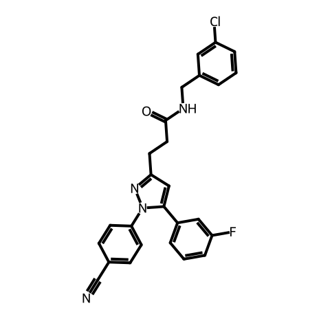 N#Cc1ccc(-n2nc(CCC(=O)NCc3cccc(Cl)c3)cc2-c2cccc(F)c2)cc1